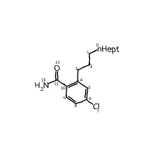 CCCCCCCCCCc1cc(Cl)ccc1C(N)=O